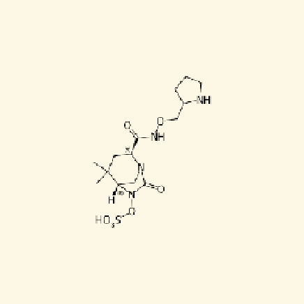 CC1(C)C[C@@H](C(=O)NOCC2CCCN2)N2C[C@@H]1N(OS(=O)(=O)O)C2=O